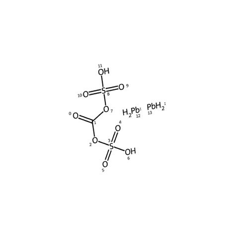 O=C(OS(=O)(=O)O)OS(=O)(=O)O.[PbH2].[PbH2]